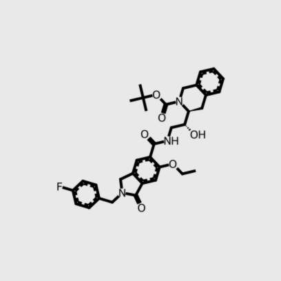 CCOc1cc2c(cc1C(=O)NC[C@@H](O)[C@@H]1Cc3ccccc3CN1C(=O)OC(C)(C)C)CN(Cc1ccc(F)cc1)C2=O